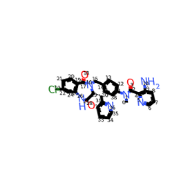 CN(C(=O)c1ncccc1N)c1ccc(CN2C(=O)c3ccc(Cl)cc3NC(=O)[C@H]2Cc2ccccn2)cc1